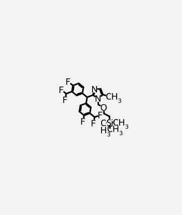 Cc1cnc(C(c2ccc(F)c(C(F)F)c2)c2ccc(F)c(C(F)F)c2)n1COCC[Si](C)(C)C